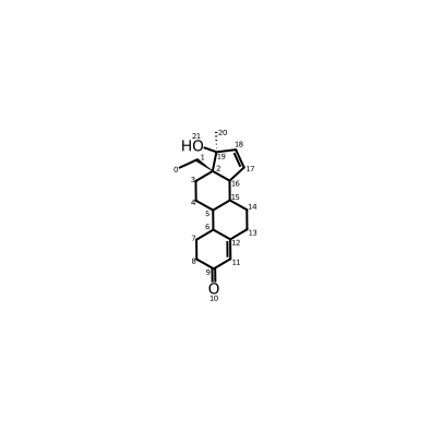 CC[C@]12CCC3C4CCC(=O)C=C4CCC3C1C=C[C@]2(C)O